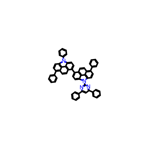 c1ccc(-c2cc(-c3ccccc3)nc(-n3c4ccc(-c5ccccc5)c5ccc6c(-c7ccc8c9c7ccc7c(-c%10ccccc%10)ccc(c79)n8-c7ccccc7)ccc3c6c54)n2)cc1